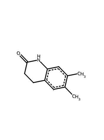 Cc1[c]c2c(cc1C)NC(=O)CC2